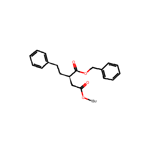 CC(C)(C)OC(=O)C[C@@H](CCc1ccccc1)C(=O)OCc1ccccc1